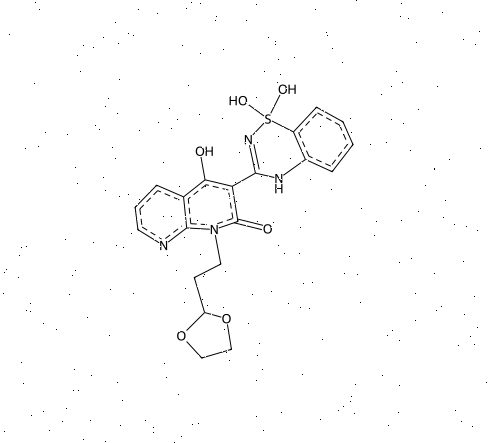 O=c1c(C2=NS(O)(O)c3ccccc3N2)c(O)c2cccnc2n1CCC1OCCO1